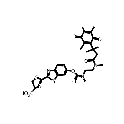 CC1=C(C)C(=O)C(C(C)(C)CC(=O)N(C)CCN(C)C(=O)Oc2ccc3nc(C4=NC(C(=O)O)CS4)sc3c2)=C(C)C1=O